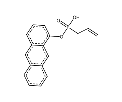 C=CCP(=O)(O)Oc1cccc2cc3ccccc3cc12